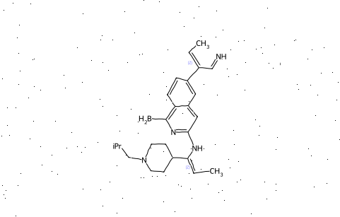 Bc1nc(N/C(=C\C)C2CCN(CC(C)C)CC2)cc2cc(/C(C=N)=C/C)ccc12